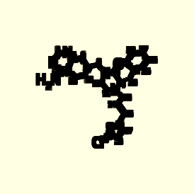 Nc1ncnc2cc(CN3CCN(CC=Cc4ccc(Cl)s4)[C@@H](Cc4ccccc4)C3=O)ccc12